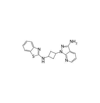 Nc1nn(C2CC(Nc3nc4ccccc4s3)C2)c2ncccc12